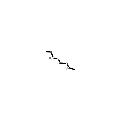 CO[SiH2]O[SiH2]O[SiH2]C